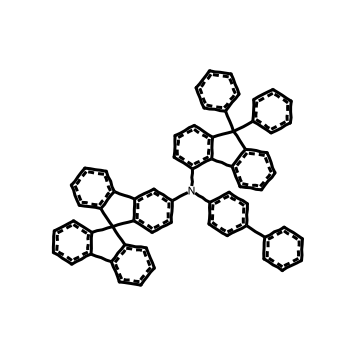 c1ccc(-c2ccc(N(c3ccc4c(c3)-c3ccccc3C43c4ccccc4-c4ccccc43)c3cccc4c3-c3ccccc3C4(c3ccccc3)c3ccccc3)cc2)cc1